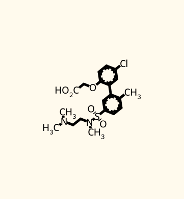 Cc1ccc(S(=O)(=O)N(C)CCN(C)C)cc1-c1cc(Cl)ccc1OCC(=O)O